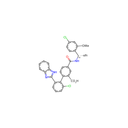 CCC[C@H](NC(=O)c1ccc(-c2c(Cl)cccc2-c2nc3ccccc3[nH]2)c(C(=O)O)c1)c1ccc(Cl)cc1OC